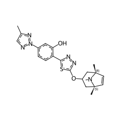 Cc1cnn(-c2ccc(-c3nnc(OC4C[C@]5(C)C=C[C@](C)(C4)N5C)s3)c(O)c2)n1